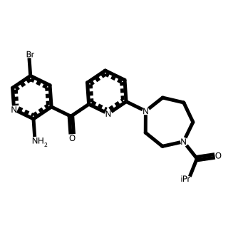 CC(C)C(=O)N1CCCN(c2cccc(C(=O)c3cc(Br)cnc3N)n2)CC1